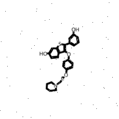 Oc1cccc(-c2sc3cc(O)ccc3c2Oc2ccc(OCCN3CCCCC3)cc2)c1